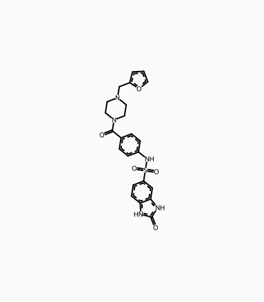 O=C(c1ccc(NS(=O)(=O)c2ccc3[nH]c(=O)[nH]c3c2)cc1)N1CCN(Cc2ccco2)CC1